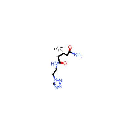 C[C@@H]([CH]C(=O)NCCn1cnnn1)CC(N)=O